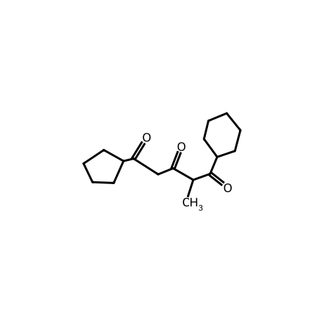 CC(C(=O)CC(=O)C1CCCC1)C(=O)C1CCCCC1